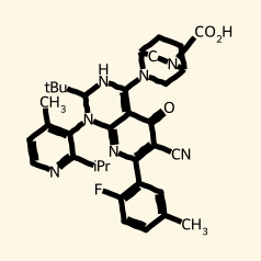 Cc1ccc(F)c(C2=C(C#N)C(=O)C3=C(N4CC5CCC4CN5C(=O)O)NC(C(C)(C)C)N(c4c(C)ccnc4C(C)C)C3=N2)c1